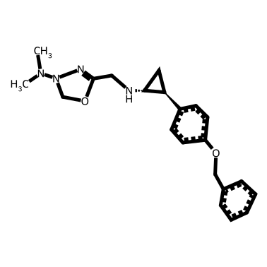 CN(C)N1COC(CN[C@@H]2C[C@H]2c2ccc(OCc3ccccc3)cc2)=N1